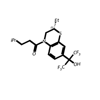 CC[C@H]1CN(C(=O)CCC(C)C)c2ccc(C(O)(C(F)(F)F)C(F)(F)F)cc2S1